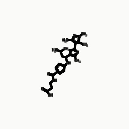 Cc1nn(C)c(C)c1-c1cc(C(CC(C)C)Nc2ccc(C(=O)NCCC(=O)O)cc2)c(C)o1